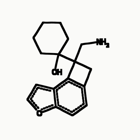 NCC1(C2(O)CCCCC2)Cc2ccc3occc3c21